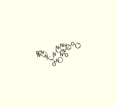 CC(C)(C=C(C#N)C(=O)N1CCC[C@@H](n2c(=O)n(-c3ccc(Oc4ccccc4)cc3)c3c(N)nccc32)C1)N1CCn2cnnc2C1